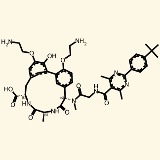 Cc1nc(-c2ccc(C(C)(C)C)cc2)nc(C)c1C(=O)NCC(=O)N(C)[C@@H]1C(=O)N[C@@H](C)C(=O)N[C@H](C(=O)O)Cc2cc(OCCN)c(O)c(c2)-c2cc1ccc2OCCN